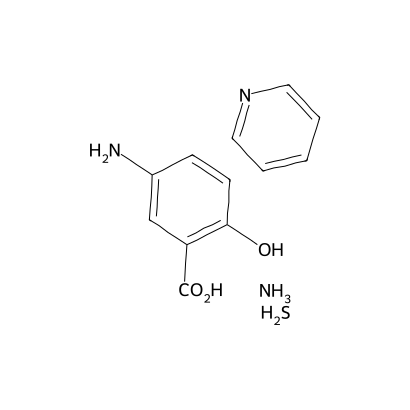 N.Nc1ccc(O)c(C(=O)O)c1.S.c1ccncc1